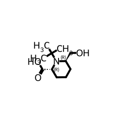 CC(C)(C)N1[C@@H](CO)CCC[C@@H]1C(=O)O